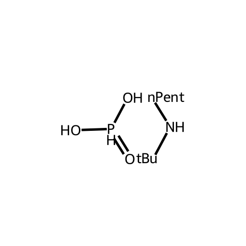 CCCCCNC(C)(C)C.O=[PH](O)O